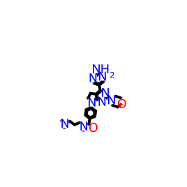 CN(C)CCCN(C)C(=O)c1ccc(N2CCc3c(-c4cnc(N)nc4)nc(N4CCOCC4)nc32)cc1